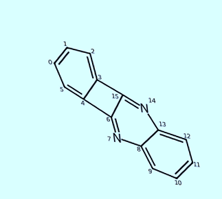 c1ccc2c(c1)-c1nc3ccccc3nc1-2